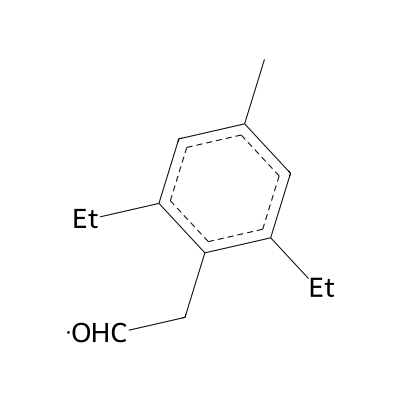 CCc1cc(C)cc(CC)c1C[C]=O